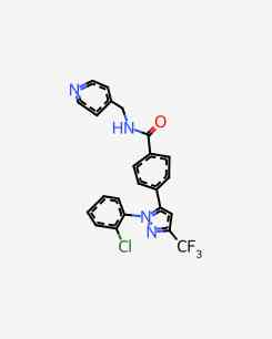 O=C(NCc1ccncc1)c1ccc(-c2cc(C(F)(F)F)nn2-c2ccccc2Cl)cc1